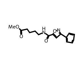 COC(=O)CCCCNC(=O)c1cc(-c2ccccc2)no1